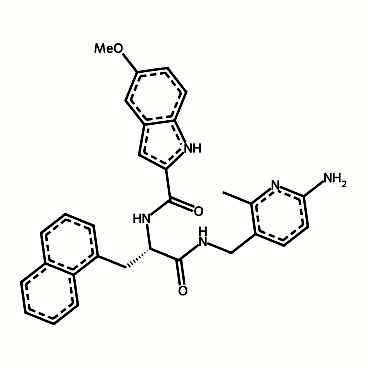 COc1ccc2[nH]c(C(=O)N[C@@H](Cc3cccc4ccccc34)C(=O)NCc3ccc(N)nc3C)cc2c1